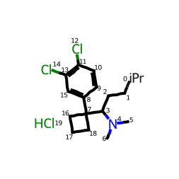 CC(C)CCC(N(C)C)C1(c2ccc(Cl)c(Cl)c2)CCC1.Cl